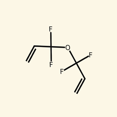 C=CC(F)(F)OC(F)(F)C=C